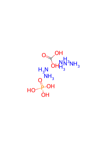 N.N.N.N.N.O=C(O)O.O=P(O)(O)O